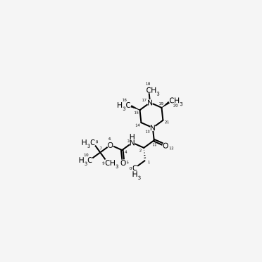 CC[C@H](NC(=O)OC(C)(C)C)C(=O)N1C[C@@H](C)N(C)[C@@H](C)C1